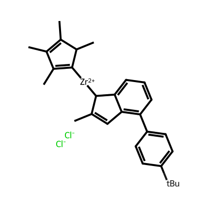 CC1=Cc2c(-c3ccc(C(C)(C)C)cc3)cccc2[CH]1[Zr+2][C]1=C(C)C(C)=C(C)C1C.[Cl-].[Cl-]